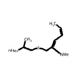 C/C=C\C=C(\CSCC(C)CCCCCC)NC